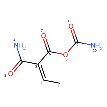 CC=C(C(N)=O)C(=O)OC(N)=O